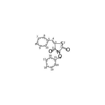 O=C1SC(=Cc2ccccc2)C(=O)N1Oc1ccccc1